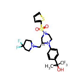 C[C@@](O)(c1ccc(N2CCN(S(=O)(=O)c3cccs3)C[C@@H]2CN2CCC(F)(F)CC2)cc1)C(F)(F)F